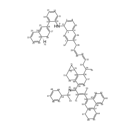 CC1=CC2C(=CC=CC2Nc2ccccc2C2=CC[C@H]3C=CC=CC3=C2)C=C1C/C=C\C=C/CC(C)C1CC=C(C(=N/C(C)C2C=CC=CC2)/C(C)=C(\C)c2cc3c(c4ccccc24)C=CCC3)C2=C1C1CC1CC2